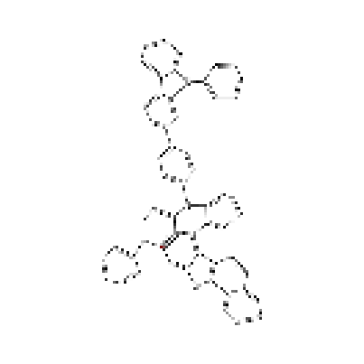 c1ccc(-c2ccc(N(c3ccc(-c4ccc5c6ccccc6n(-c6ccccc6)c5c4)cc3)c3ccccc3-c3cccc4oc5c6ccccc6ccc5c34)cc2)cc1